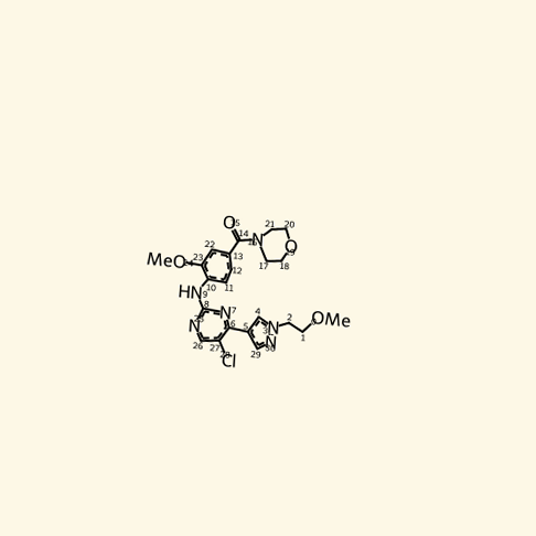 COCCn1cc(-c2nc(Nc3ccc(C(=O)N4CCOCC4)cc3OC)ncc2Cl)cn1